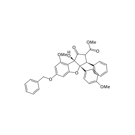 COC(=O)C1C(=O)[C@@]2(O)c3c(OC)cc(OCc4ccccc4)cc3O[C@@]2(c2ccc(OC)cc2)[C@@H]1c1ccccc1